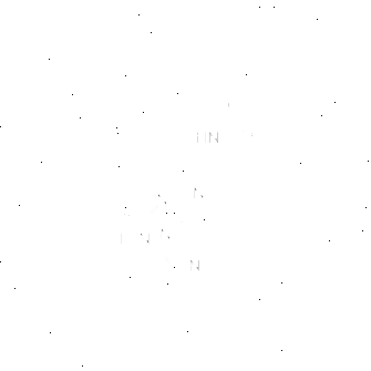 N[N+]12C=CN=CC1=C(N1CCCC(NC(=O)[O-])C1)N=C2Br